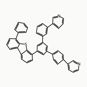 c1ccc(-c2cccc3c2sc2c(-c4cc(-c5ccc(-c6cccnc6)cc5)cc(-c5cccc(-c6cccnc6)c5)c4)cccc23)cc1